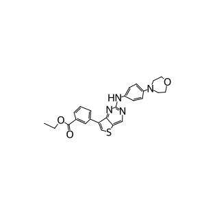 CCOC(=O)c1cccc(-c2csc3cnc(Nc4ccc(N5CCOCC5)cc4)nc23)c1